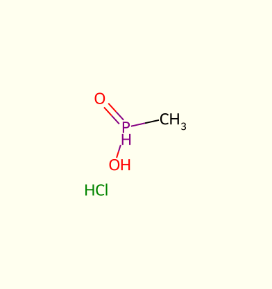 C[PH](=O)O.Cl